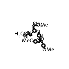 COC[C@H](C)Oc1cc(Oc2ccc(S(=O)(=O)N(Cc3ccc(OC)cc3)Cc3ccc(OC)cc3)nc2)cc(-c2ccc(C3=NC[C@H](C)O3)[nH]2)c1